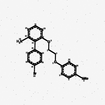 CSc1cnc(OCCOc2ncnc(N)c2-c2ccc(Br)cc2)nc1